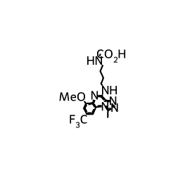 COc1cc(C(F)(F)F)cc2c1nc(NCCCCNC(=O)O)c1nnc(C)n12